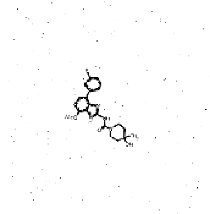 COc1ccc(-c2cccc(F)c2)c2nc(NC(=O)N3CCC(C)(O)CC3)[nH]c12